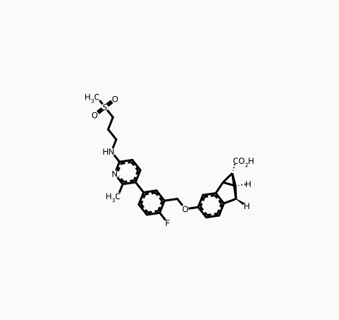 Cc1nc(NCCCS(C)(=O)=O)ccc1-c1ccc(F)c(COc2ccc3c(c2)C2[C@@H]4[C@H]3[C@@]24C(=O)O)c1